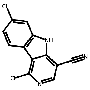 N#Cc1cnc(Cl)c2c1[nH]c1cc(Cl)ccc12